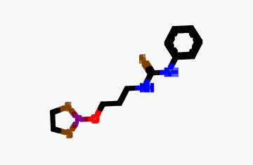 S=C(NCCCOP1SCCS1)Nc1ccccc1